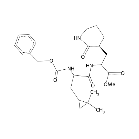 COC(=O)C(C[C@@H]1CCCNC1=O)NC(=O)C(CC1CC1(C)C)NC(=O)OCc1ccccc1